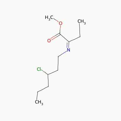 CCCC(Cl)CCN=C(CC)C(=O)OC